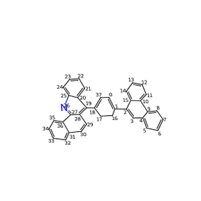 C1=C(c2cc3ccccc3c3ccccc23)CCC(c2c3ccccc3nc3c2ccc2ccccc23)=C1